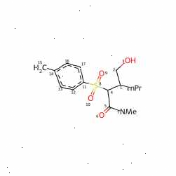 CCCC(CO)C(C(=O)NC)S(=O)(=O)c1ccc(C)cc1